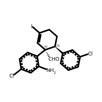 Nc1cc(Cl)ccc1[C@@]1(C=O)C=C(I)CC[C@H]1c1cccc(Cl)c1